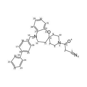 N#CCC(=O)N1CCC2(CC1)CCN(Cc1ccc(-c3ccccc3)cc1)c1ccccc1O2